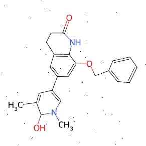 CC1=CC(c2cc3c(c(OCc4ccccc4)c2)NC(=O)CC3)=CN(C)C1O